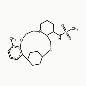 Cc1cccc2c1OCCN1CCCC(NS(C)(=O)=O)C1COC1CCC2CC1